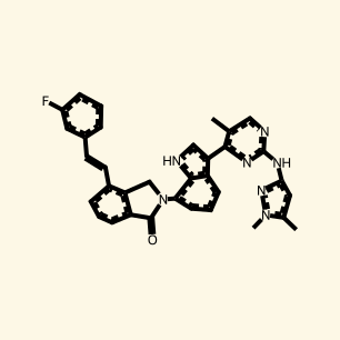 Cc1cnc(Nc2cc(C)n(C)n2)nc1-c1c[nH]c2c(N3Cc4c(C=Cc5cccc(F)c5)cccc4C3=O)cccc12